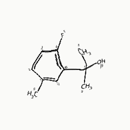 Cc1ccc(F)c(C(C)(C)O)c1